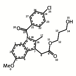 COc1ccc2c(c1)c(CC(=O)OCCCO)c(C)n2C(=O)c1ccc(Cl)cc1